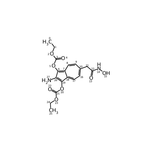 CCOC(=O)Oc1c2ccc(CC(=O)NO)ccc-2c(OC(=O)OCC)c1N